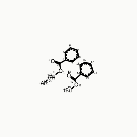 CC(C)(C)OC(=O)c1ccccc1.CC(C)(C)OC(=O)c1ccccc1.[OH][Al]